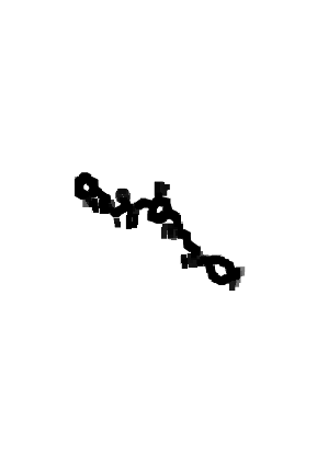 C[C@H](NCc1ccccn1)C(=O)NCc1ccc(CNCCCNC2CCC(F)(F)CC2)cc1Br